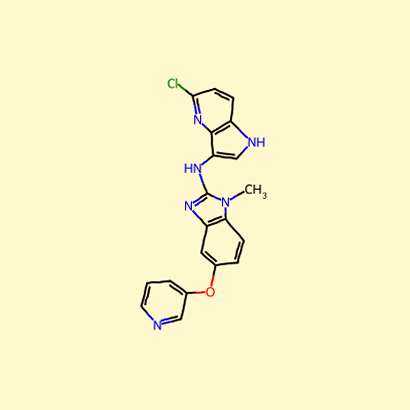 Cn1c(Nc2c[nH]c3ccc(Cl)nc23)nc2cc(Oc3cccnc3)ccc21